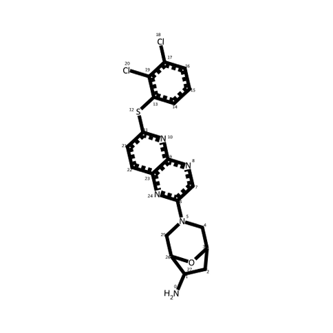 NC1CC2CN(c3cnc4nc(Sc5cccc(Cl)c5Cl)ccc4n3)CC1O2